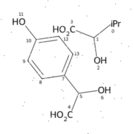 CC(C)C(O)C(=O)O.O=C(O)C(O)c1ccc(O)cc1